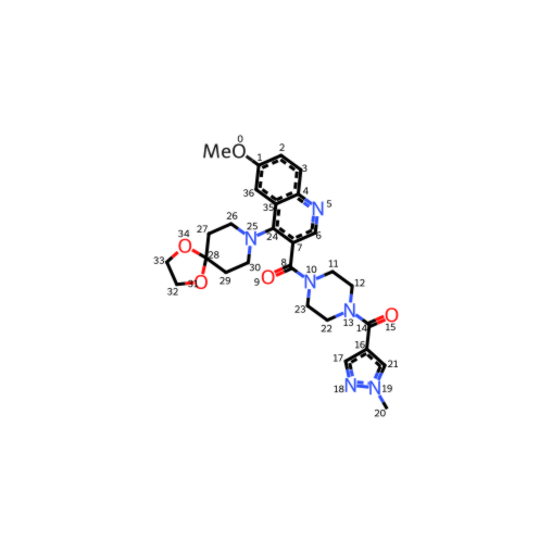 COc1ccc2ncc(C(=O)N3CCN(C(=O)c4cnn(C)c4)CC3)c(N3CCC4(CC3)OCCO4)c2c1